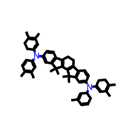 CC1=CC(N(C2=CC(C)=C(C)CC2)c2ccc3c(c2)C(C)(C)C2=C3CCC3=C2C(C)(C)c2cc(N(C4=CC(C)=C(C)CC4)c4ccc(C)c(C)c4)ccc23)CC=C1